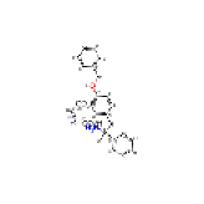 CC(N)(Cc1ccc(OCc2ccccc2)cc1)c1ccccc1.O=C(O)/C=C\C(=O)O